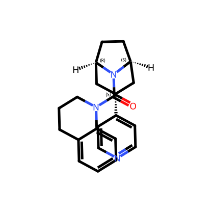 O=C(N1CCCc2ccccc21)N1[C@@H]2CC[C@H]1C[C@H](c1ccncc1)C2